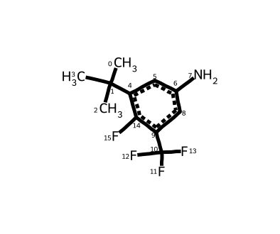 CC(C)(C)c1cc(N)cc(C(F)(F)F)c1F